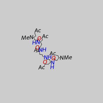 CNC(CCC(C)=O)CC(=O)NC(CCC(C)=O)CC(=O)NCCCC(CC(C)=O)NC(=O)CC(CCC(C)=O)NC(=O)CC(CCC(C)=O)NC